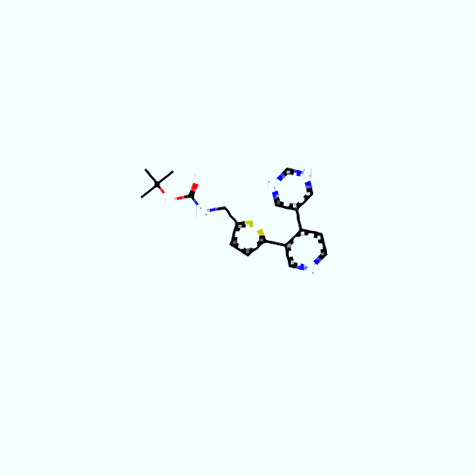 CC(C)(C)OC(=O)NCc1ccc(-c2cnccc2-c2cncnc2)s1